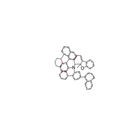 CC12Oc3ccccc3C1=CC=CC2N(c1cc(-c2cccc3ccccc23)ccc1-c1ccccc1)c1ccccc1-c1cccc2cccc(C3CCCCC3)c12